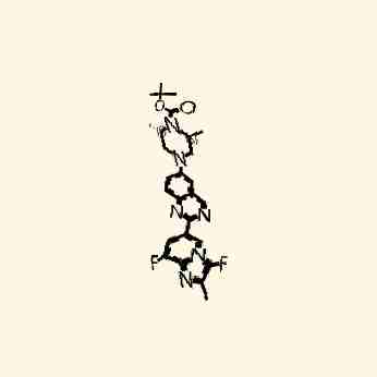 Cc1nc2c(F)cc(-c3ncc4cc(N5C[C@H](C)N(C(=O)OC(C)(C)C)[C@@H](C)C5)ccc4n3)cn2c1F